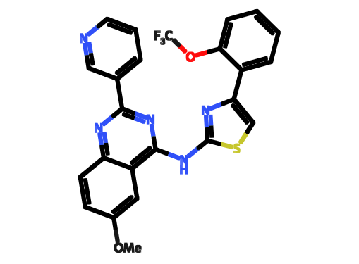 COc1ccc2nc(-c3cccnc3)nc(Nc3nc(-c4ccccc4OC(F)(F)F)cs3)c2c1